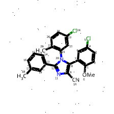 COc1ccc(Cl)cc1-c1c(C#N)nc(-c2cccc(C)c2)n1-c1cc(Cl)ccc1C